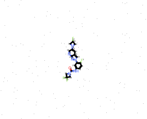 O=C(Nc1ccc(F)c(-n2cc3cc(N4CC(F)C4)cnc3n2)c1)N1CC(F)(F)C1